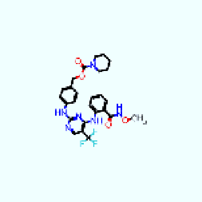 CONC(=O)c1ccccc1Nc1nc(Nc2ccc(COC(=O)N3CCCCC3)cc2)ncc1C(F)(F)F